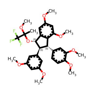 COc1cc(OC)cc([C@@H]2[C@@H](c3ccc(OC)c(OC)c3)c3c(OC)cc(OC)cc3[C@H]2OC(C)(OC)C(F)(F)F)c1